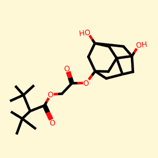 CC(C)(C)C(C(=O)OCC(=O)OC12CC3CC4(O)CC(O)(C1)CC34C2)C(C)(C)C